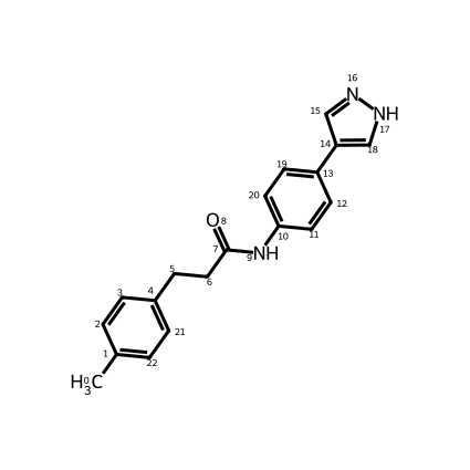 Cc1ccc(CCC(=O)Nc2ccc(-c3cn[nH]c3)cc2)cc1